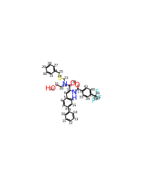 O=C(NC(=Cc1ccc(-c2ccccc2)cc1)C(=O)N(CCO)CSCc1ccccc1)c1ccc(C(F)(F)F)cc1